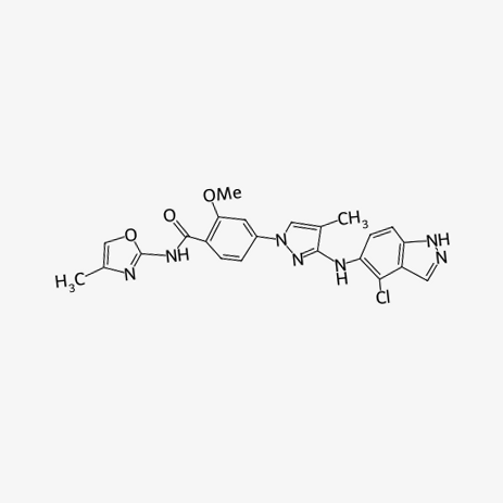 COc1cc(-n2cc(C)c(Nc3ccc4[nH]ncc4c3Cl)n2)ccc1C(=O)Nc1nc(C)co1